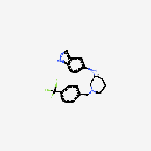 FC(F)(F)c1ccc(CN2CCC[C@H](Nc3ccc4[nH]ncc4c3)C2)cc1